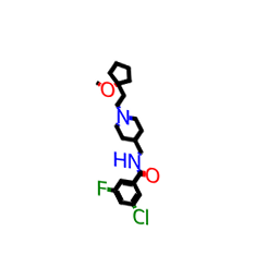 COC1(CCN2CCC(CNC(=O)c3cc(F)cc(Cl)c3)CC2)CCCC1